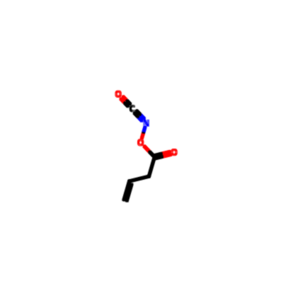 C=CCC(=O)ON=C=O